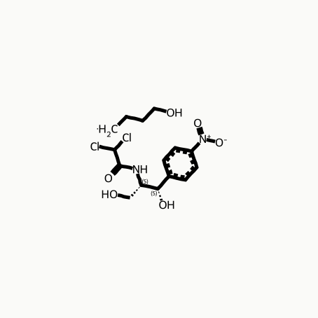 O=C(N[C@@H](CO)[C@@H](O)c1ccc([N+](=O)[O-])cc1)C(Cl)Cl.[CH2]CCCO